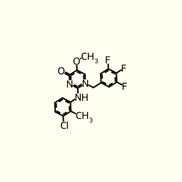 COc1cn(Cc2cc(F)c(F)c(F)c2)c(Nc2cccc(Cl)c2C)nc1=O